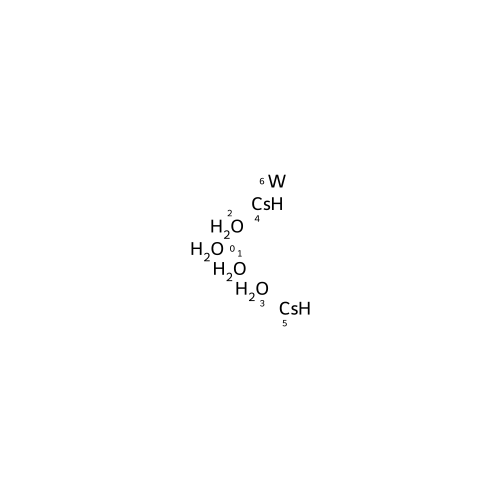 O.O.O.O.[CsH].[CsH].[W]